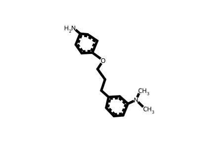 CN(C)c1cccc(CCCOc2ccc(N)cc2)c1